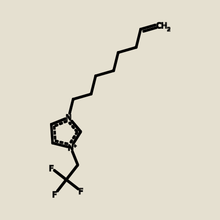 C=CCCCCCCn1cc[n+](CC(F)(F)F)c1